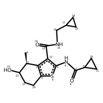 C[C@H]1c2c(sc(NC(=O)C3CC3)c2C(=O)NCC2CC2)CCC1O